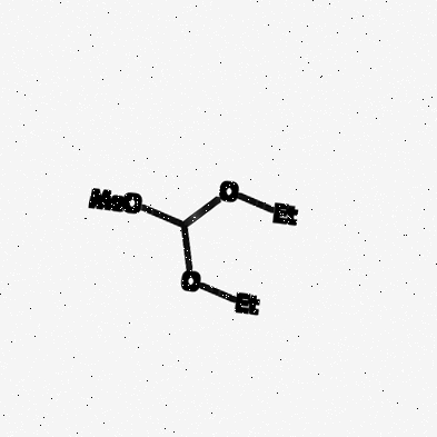 [CH2]OC(OCC)OCC